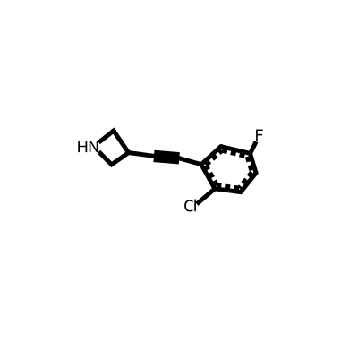 Fc1ccc(Cl)c(C#CC2CNC2)c1